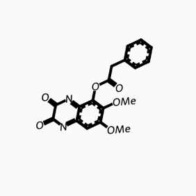 COc1cc2c(c(OC(=O)Cc3ccccc3)c1OC)=NC(=O)C(=O)N=2